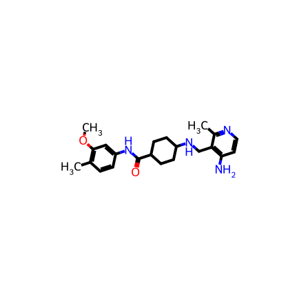 COc1cc(NC(=O)C2CCC(NCc3c(N)ccnc3C)CC2)ccc1C